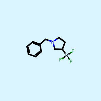 F[B-](F)(F)C1CCN(Cc2ccccc2)C1